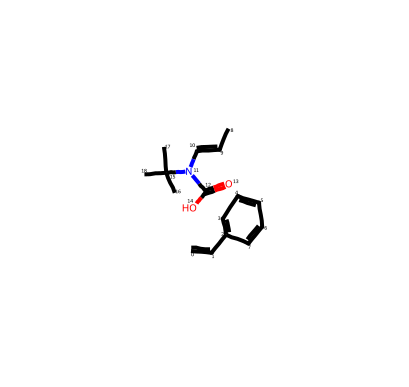 C=Cc1ccccc1.CC=CN(C(=O)O)C(C)(C)C